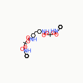 CC(C)(COC(=O)NCc1ccccc1)COC(=O)NC1CCC(CC2CCC(NC(=O)OCC(C)(C)COC(=O)NCc3ccccc3)CC2)CC1